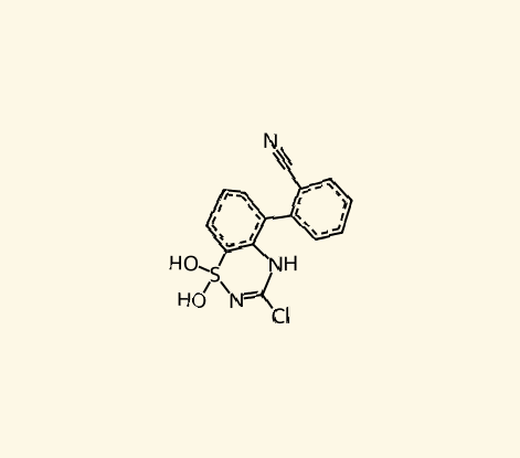 N#Cc1ccccc1-c1cccc2c1NC(Cl)=NS2(O)O